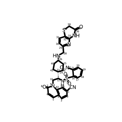 N#Cc1ccc2ccc(=O)n(CC(NS(=O)(=O)c3ccccc3[N+](=O)[O-])[C@H]3CC[C@H](NCc4ccc5c(n4)NC(=O)CS5)CC3)c2c1